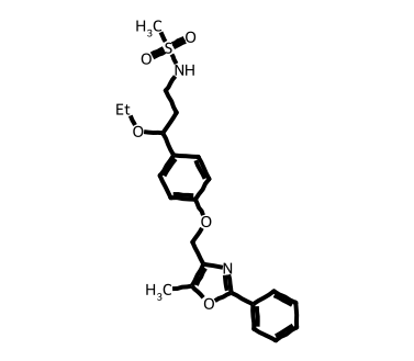 CCOC(CCNS(C)(=O)=O)c1ccc(OCc2nc(-c3ccccc3)oc2C)cc1